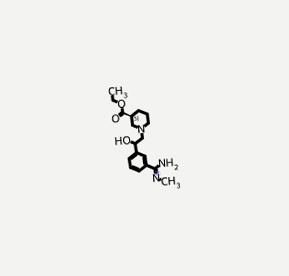 CCOC(=O)[C@H]1CCCN(CC(O)c2cccc(/C(N)=N/C)c2)C1